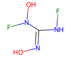 ON=C(NF)N(O)F